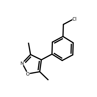 Cc1noc(C)c1-c1cccc(CCl)c1